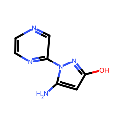 Nc1cc(O)nn1-c1cnccn1